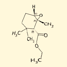 CCOC(=O)[C@@H]1C(C)(C)CC[C@@H]2O[C@@]21C